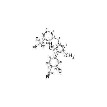 Cc1nn(Cc2cccc(C(F)(F)F)c2)c(C)c1-c1ccc(C#N)c(Cl)c1